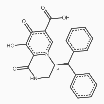 O=C(O)c1cn2c(c(O)c1=O)C(=O)NC[C@@H]2C(c1ccccc1)c1ccccc1